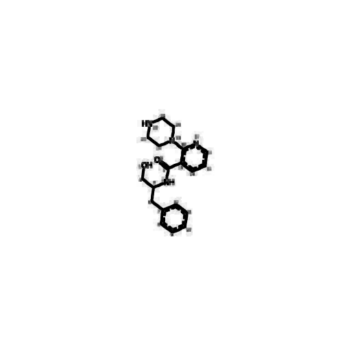 O=C(NC(CO)Cc1ccccc1)c1cccnc1N1CCNCC1